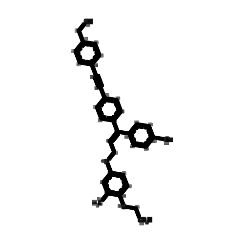 Cc1cc(OCC=C(c2ccc(C#Cc3ccc(CO)cc3)cc2)c2ccc(C(C)(C)C)cc2)ccc1OCC(=O)O